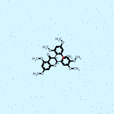 COc1cc(OC)c2c(c1)O[C@H](c1ccc(OC)c(OC)c1)[C@H](c1c(OC)cc(OC)cc1OC)C2=O